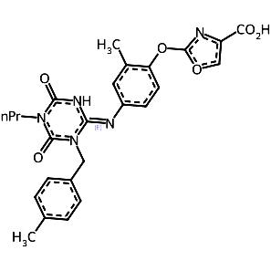 CCCn1c(=O)[nH]/c(=N\c2ccc(Oc3nc(C(=O)O)co3)c(C)c2)n(Cc2ccc(C)cc2)c1=O